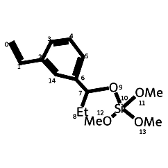 C=Cc1cccc(C(CC)O[Si](OC)(OC)OC)c1